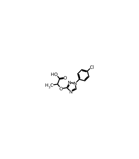 CC(Oc1ncn(-c2ccc(Cl)cc2)n1)C(=O)O